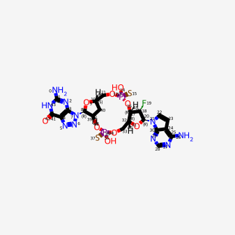 Nc1nc2c(nnn2[C@@H]2O[C@@H]3COP(O)(=S)O[C@H]4[C@H](F)[C@H](n5ccc6c(N)ncnc65)O[C@@H]4COP(O)(=S)O[C@@H]2C3)c(=O)[nH]1